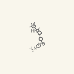 Cc1cc(-c2[nH]c3cc(-c4ccc(C(=O)N5CCC(N)CC5)cc4)ccc3c2C)cc(C)n1